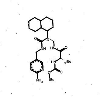 CC[C@@H](C)C(NC(=O)OC(C)(C)C)C(=O)NC[C@H](C(=O)NCc1ccc(N)nc1)C1CCCC2CCCCC21